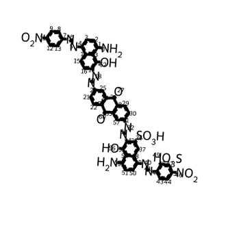 Nc1ccc(N=Nc2ccc([N+](=O)[O-])cc2)c2ccc(N=Nc3ccc4c(c3)C(=O)c3ccc(N=Nc5c(S(=O)(=O)O)cc6c(N=Nc7ccc([N+](=O)[O-])cc7S(=O)(=O)O)ccc(N)c6c5O)cc3C4=O)c(O)c12